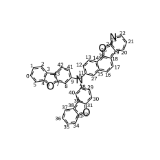 c1ccc2c(c1)oc1cc(N(c3ccc4c(ccc5c6cccnc6oc45)c3)c3ccc4oc5ccccc5c4c3)ccc12